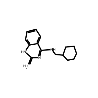 C=C1N=C(NCC2CCCCC2)c2ccccc2N1